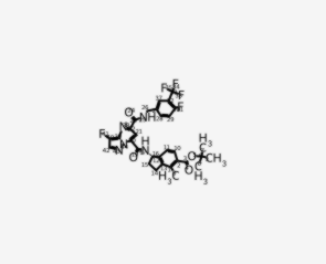 Cc1c(C(=O)OC(C)(C)C)ccc2c1CC[C@@H]2NC(=O)c1cc(C(=O)NCc2ccc(F)c(C(F)(F)F)c2)nc2c(F)cnn12